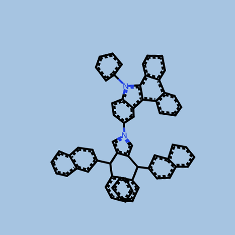 c1ccc(C(c2ccc3ccccc3c2)c2cn(-c3ccc4c(c3)c3c5ccccc5c5ccccc5c3n4-c3ccccc3)cc2C(c2ccccc2)c2ccc3ccccc3c2)cc1